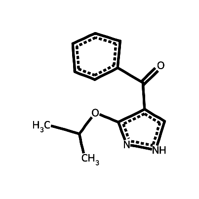 CC(C)Oc1n[nH]cc1C(=O)c1ccccc1